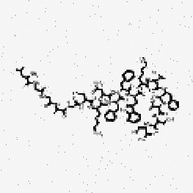 CC(C)CC(N)C(=O)NCC(=O)NCC(=O)NC(C)C(=O)NCC(=O)NC(CS)C(=O)NC(CCCCN)C(=O)NC(CC(N)=O)C(=O)NC(Cc1ccccc1)C(=O)NC(Cc1ccccc1)C(=O)NC(Cc1c[nH]c2ccccc12)C(=O)NC(CCCCN)C(=O)NC(C(=O)NC(Cc1ccccc1)C(=O)NC(C(=O)NC(CO)C(=O)NC(CS)C(=O)O)C(C)O)C(C)O